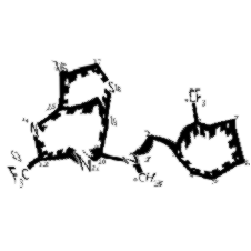 CN(Cc1ccccc1C(F)(F)F)c1nc(C(F)(F)F)nc2ccsc12